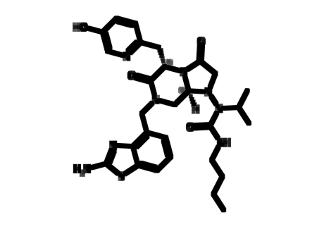 CCCCNC(=O)N(C(C)C)N1CC(=O)N2[C@@H](Cc3ccc(O)cn3)C(=O)N(Cc3cccc4sc(N)nc34)C[C@@H]21